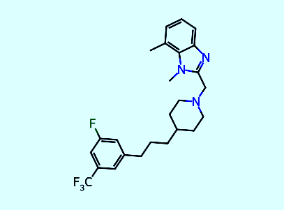 Cc1cccc2nc(CN3CCC(CCCc4cc(F)cc(C(F)(F)F)c4)CC3)n(C)c12